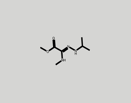 CN/C(=N\NC(C)C)C(=O)OC